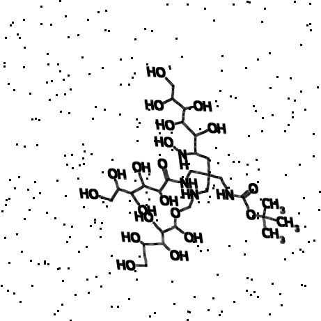 CC(C)(C)OC(=O)NCC(CNCOC(O)C(O)C(O)C(O)CO)(CNC(=O)C(O)C(O)C(O)C(O)CO)CC(NO)C(O)C(O)C(O)C(O)CO